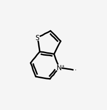 [CH2][n+]1cccc2sccc21